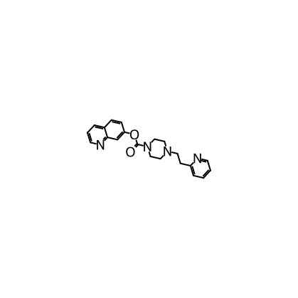 O=C(Oc1ccc2cccnc2c1)N1CCN(CCc2ccccn2)CC1